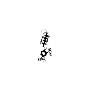 O=[N+]([O-])c1ccc(OCC(F)(F)C(F)(F)C(F)(F)C(F)(F)CO)c([N+](=O)[O-])c1